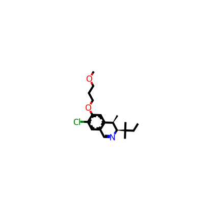 CCC(C)(C)[C@H]1N=Cc2cc(Cl)c(OCCCOC)cc2[C@H]1C